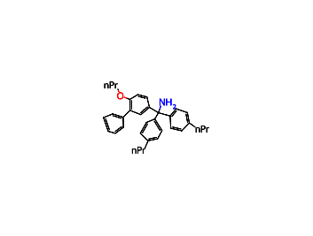 CCCOc1ccc(C(N)(c2ccc(CCC)cc2)c2ccc(CCC)cc2)cc1-c1ccccc1